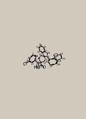 O=C(O)C1(Nc2cccc(Cl)c2)CCC2(CC1)c1ccccc1CC2c1cccc2c1OCC2